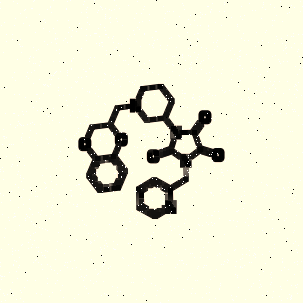 O=C1C(=O)N(C2CCCN(CC3COc4ccccc4O3)C2)C(=O)N1Cc1ccccn1